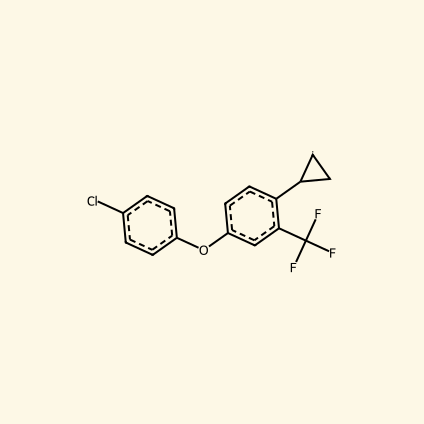 FC(F)(F)c1cc(Oc2ccc(Cl)cc2)ccc1C1[CH]C1